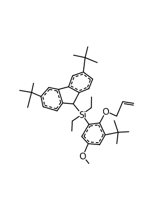 C=CCOc1c(C(C)(C)C)cc(OC)cc1[Si](CC)(CC)C1c2ccc(C(C)(C)C)cc2-c2cc(C(C)(C)C)ccc21